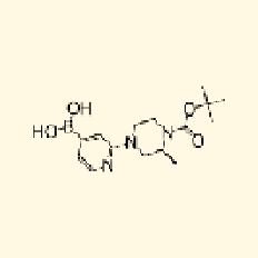 C[C@H]1CN(c2cc(B(O)O)ccn2)CCN1C(=O)OC(C)(C)C